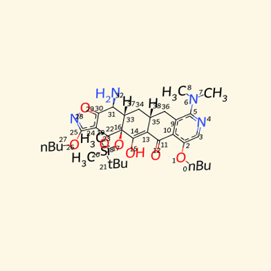 CCCCOc1cnc(N(C)C)c2c1C(=O)C1=C(O)[C@]3(O[Si](C)(C)C(C)(C)C)C(=O)c4c(OCCCC)noc4[C@@H](N)[C@@H]3C[C@@H]1C2